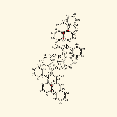 c1ccc(N(c2ccccc2)c2cc3c(cc2-c2ccc4ccccc4c2)-c2ccccc2C32c3ccccc3-c3cc(-c4ccc5ccccc5c4)c(N(c4ccccc4)c4ccc5c(c4)oc4ccccc45)cc32)cc1